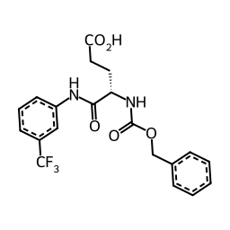 O=C(O)CC[C@H](NC(=O)OCc1ccccc1)C(=O)Nc1cccc(C(F)(F)F)c1